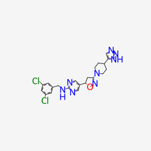 Clc1cc(Cl)cc(CNc2ncc(C3CC(N4CCC(c5cnn[nH]5)CC4)=NO3)cn2)c1